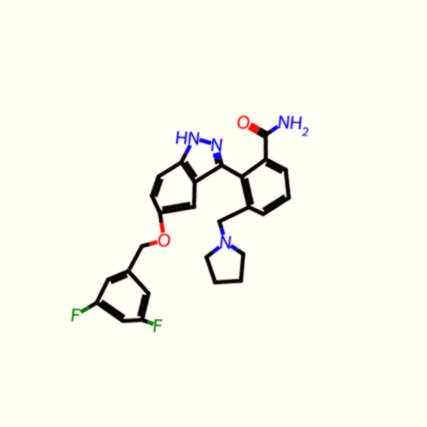 NC(=O)c1cccc(CN2CCCC2)c1-c1n[nH]c2ccc(OCc3cc(F)cc(F)c3)cc12